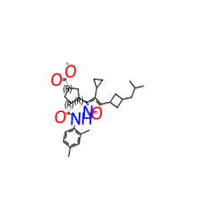 COC(=O)[C@H]1C[C@@H](C(=O)Nc2ccc(C)cc2C)[C@H](c2noc(C3CC(CC(C)C)C3)c2C2CC2)C1